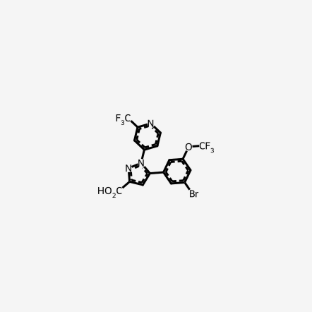 O=C(O)c1cc(-c2cc(Br)cc(OC(F)(F)F)c2)n(-c2ccnc(C(F)(F)F)c2)n1